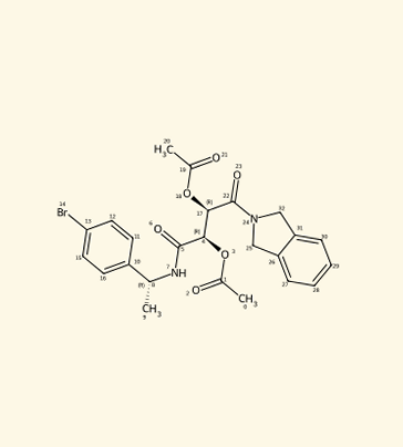 CC(=O)O[C@@H](C(=O)N[C@H](C)c1ccc(Br)cc1)[C@@H](OC(C)=O)C(=O)N1Cc2ccccc2C1